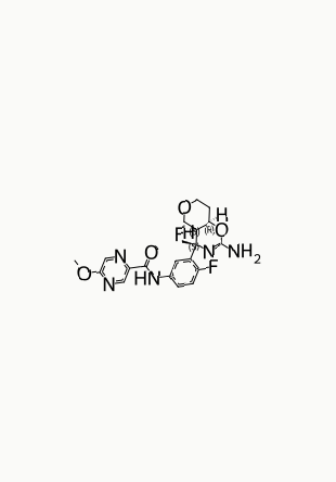 COc1cnc(C(=O)Nc2ccc(F)c([C@@]3(CF)N=C(N)O[C@@H]4CCOC[C@@H]43)c2)cn1